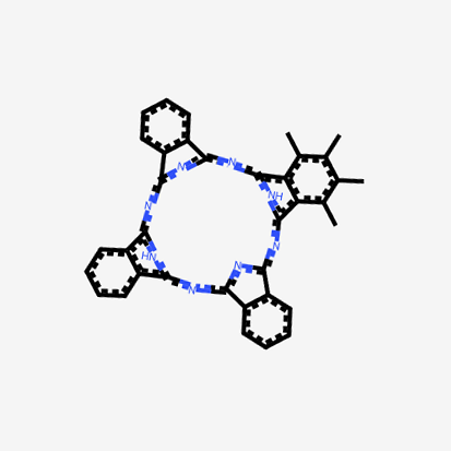 Cc1c(C)c(C)c2c3nc4nc(nc5[nH]c(nc6nc(nc([nH]3)c2c1C)-c1ccccc1-6)c1ccccc51)-c1ccccc1-4